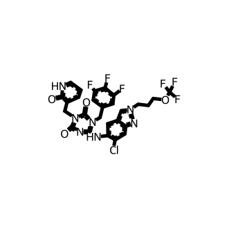 O=c1[nH]cccc1Cn1c(=O)nc(Nc2cc3cn(CCCOC(F)(F)F)nc3cc2Cl)n(Cc2cc(F)c(F)c(F)c2)c1=O